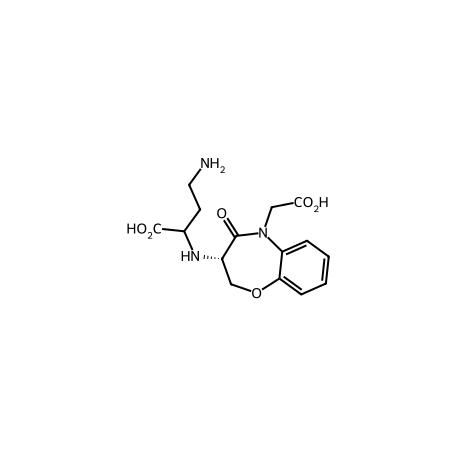 NCCC(N[C@H]1COc2ccccc2N(CC(=O)O)C1=O)C(=O)O